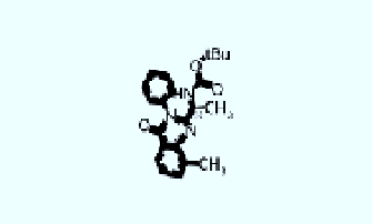 Cc1cccc2c(=O)n(-c3ccccc3)c([C@H](C)NC(=O)OC(C)(C)C)nc12